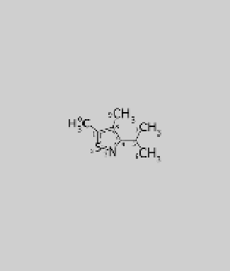 Cc1snc(C(C)C)c1C